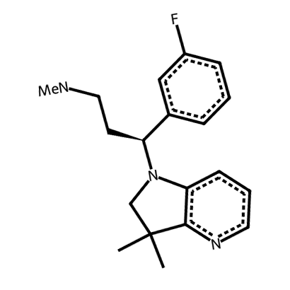 CNCC[C@@H](c1cccc(F)c1)N1CC(C)(C)c2ncccc21